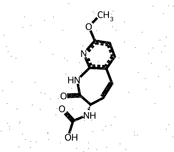 COc1ccc2c(n1)NC(=O)[C@@H](NC(=O)O)C=C2